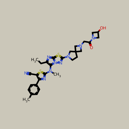 CCc1nc2sc(N3CCC4(CN(CC(=O)N5CC(O)C5)C4)C3)nn2c1N(C)c1nc(-c2ccc(C)cc2)c(C#N)s1